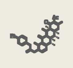 C=C(Cc1ccc(CC)cc1)Cc1ccc2c(c1C)C(=C)C1=C(C)[C@@]3(C)C(=O)C(C(C)=O)=C(C)C[C@@]3(C)[C@H](C)[C@@]1(C)[C@@H]2C